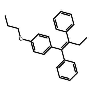 CCCOc1ccc(C(=C(CC)c2ccccc2)c2ccccc2)cc1